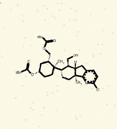 CC(C)(C)C(=O)OC[C@H]1C[C@@H](OC(=O)C(C)(C)C)CC[C@]1(C)[C@H]1CC[C@]2(C)c3nc(Cl)ccc3C[C@H]2[C@@H]1CO